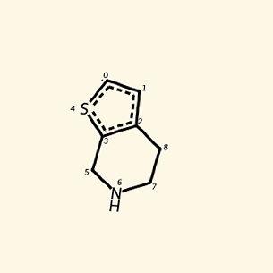 [c]1cc2c(s1)CNCC2